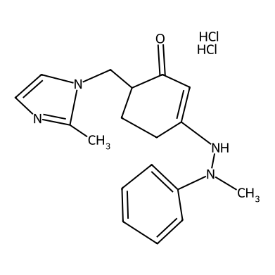 Cc1nccn1CC1CCC(NN(C)c2ccccc2)=CC1=O.Cl.Cl